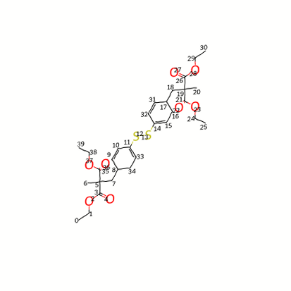 CCOC(=O)C(C)(CC1C=CC(SSC2=CCC(CC(C)(C(=O)OCC)C(=O)OCC)C=C2)=CC1)C(=O)OCC